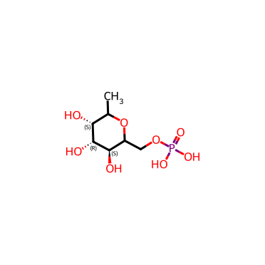 CC1OC(COP(=O)(O)O)[C@@H](O)[C@H](O)[C@@H]1O